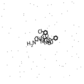 Cn1c(=O)n(CC(=O)c2ccccc2)c(=O)c2c1nc(N1CCCC(N)C1)n2Cc1ccccc1Cl